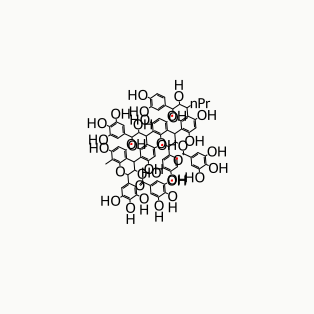 CCCC1c2c(O)cc(O)c(C3c4c(O)cc(O)c(C5c6c(O)cc(O)c(C7c8c(O)cc(O)c(C)c8OC(c8cc(O)c(O)c(O)c8)C7OC(=O)c7cc(O)c(O)c(O)c7)c6OC(c6cc(O)c(O)c(O)c6)C5O)c4OC(c4ccc(O)c(O)c4)C3OC(=O)c3cc(O)c(O)c(O)c3)c2OC(c2ccc(O)c(O)c2)C1O